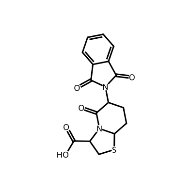 O=C(O)C1CSC2CCC(N3C(=O)c4ccccc4C3=O)C(=O)N21